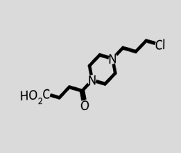 O=C(O)CCC(=O)N1CCN(CCCCl)CC1